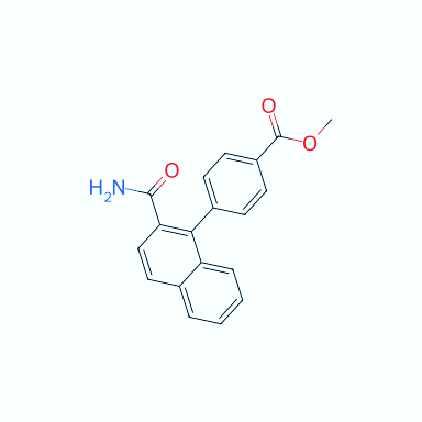 COC(=O)c1ccc(-c2c(C(N)=O)ccc3ccccc23)cc1